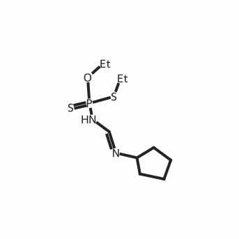 CCOP(=S)(N/C=N/C1CCCC1)SCC